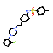 Cc1ccc(S(=O)(=O)NC2CCC(CCN3CCN(c4ccccc4F)CC3)CC2)cc1